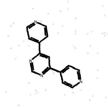 c1cc(-c2cc(-c3ccncc3)ncn2)ccn1